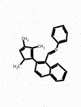 CC1=CC(C)C(c2ccc3ccccc3c2/C=N/c2ccccc2)=C1C